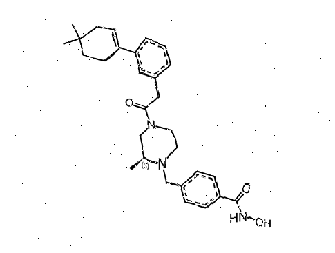 C[C@H]1CN(C(=O)Cc2cccc(C3=CCC(C)(C)CC3)c2)CCN1Cc1ccc(C(=O)NO)cc1